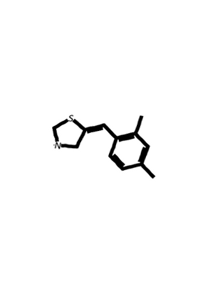 Cc1ccc(/C=C2\C[N]CS2)c(C)c1